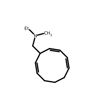 CCN(C)CC1C=C/C=C\CCC/C=C\1